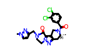 C[C@@H]1Cc2nn3c(c2CN1C(=O)c1ccc(Cl)c(Cl)c1)C(=O)N(Cc1ccn(C)n1)CC3